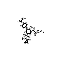 COC(=O)c1nnc2c(N3CCN(C(=O)C(C)C)CC3)cc(S(=O)(=O)NC3(C)CC3)cn12